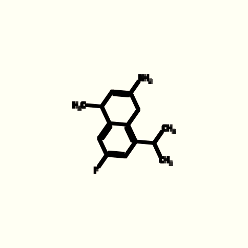 CC(C)c1cc(F)cc2c1CC(N)=CC2C